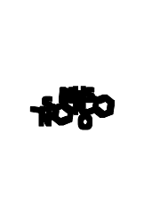 CSc1ccccc1C(=O)Nc1ccc2nc(C)sc2c1Br